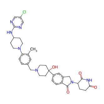 Cc1cc(CN2CCC(O)(c3ccc4c(c3)CN(C3CCC(=O)NC3=O)C4=O)CC2)ccc1N1CCC(Nc2ncc(Cl)cn2)CC1